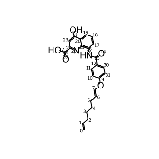 C=CCCCCC=COc1ccc(C(=O)Nc2cccc3c(O)cc(C(=O)O)nc23)cc1